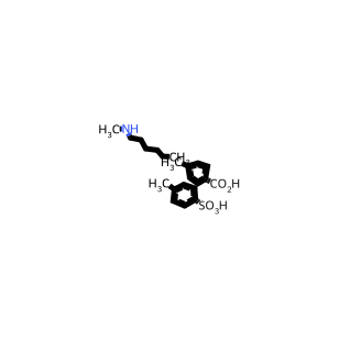 CCCCCCNC.Cc1ccc(C(=O)O)cc1.Cc1ccc(S(=O)(=O)O)cc1